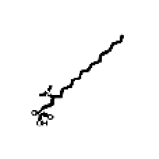 CCCCCCCCCCCCCCC(CCS(=O)(=O)O)N(C)C